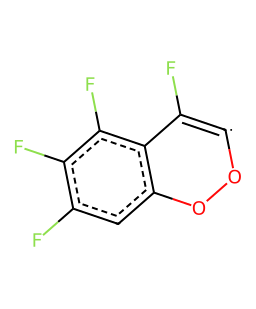 FC1=[C]OOc2cc(F)c(F)c(F)c21